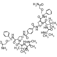 CN[C@@H](C)C(=O)N[C@H](C(=O)N1C[C@@H](NC(=O)c2ccc(C(=O)N[C@H]3C[C@@H](C(=O)N[C@H](COCC(N)=O)c4ccccc4)N(C(=O)[C@@H](NC(=O)[C@H](C)NC)C(C)(C)C)C3)cc2)CC1C(=O)N[C@H](COCC(N)=O)c1ccccc1)C(C)(C)C